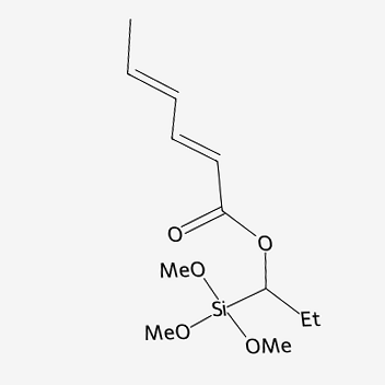 CC=CC=CC(=O)OC(CC)[Si](OC)(OC)OC